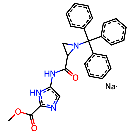 COC(=O)c1ncc(NC(=O)C2CN2C(c2ccccc2)(c2ccccc2)c2ccccc2)[nH]1.[Na]